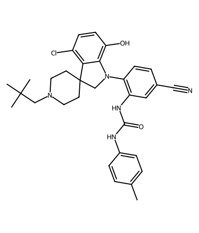 Cc1ccc(NC(=O)Nc2cc(C#N)ccc2N2CC3(CCN(CC(C)(C)C)CC3)c3c(Cl)ccc(O)c32)cc1